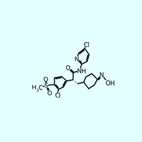 CS(=O)(=O)c1ccc([C@@H](CC2CCC(=NO)CC2)C(=O)Nc2ccc(Cl)cn2)cc1Cl